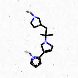 CC(C)(C)N1CCC(CC(C)(C)N2CC=C(c3cccn3C(C)(C)C)C2)C1